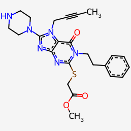 CC#CCn1c(N2CCNCC2)nc2nc(SCC(=O)OC)n(CCc3ccccc3)c(=O)c21